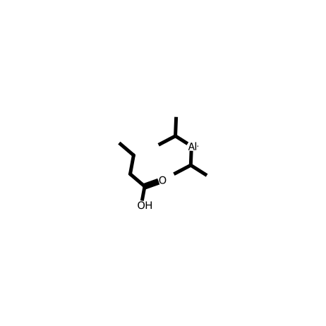 CCCC(=O)O.C[CH](C)[Al][CH](C)C